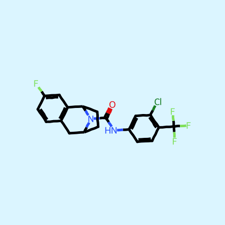 O=C(Nc1ccc(C(F)(F)F)c(Cl)c1)N1C2CCC1c1cc(F)ccc1C2